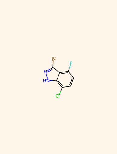 Fc1ccc(Cl)c2[nH]nc(Br)c12